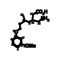 COc1cccc(OCC[C@@H](C)C[C@H](CN)CC(=O)O)c1